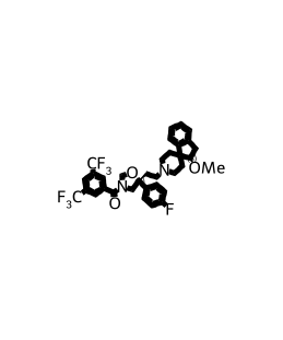 CO[C@H]1Cc2ccccc2C12CCN(CC[C@@]1(c3ccc(F)cc3)CN(C(=O)c3cc(C(F)(F)F)cc(C(F)(F)F)c3)CO1)CC2